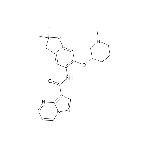 CN1CCCC(Oc2cc3c(cc2NC(=O)c2cnn4cccnc24)CC(C)(C)O3)C1